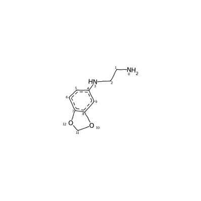 NCCNc1ccc2c(c1)OCO2